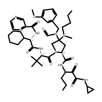 CCCCN(C)C1(N(C=O)Cc2cccc(OC)c2)C[C@@H](C(=O)NC(CCC)C(=O)C(=O)NC2CC2)N(C(=O)[C@@H](NC(=O)[C@@H](NC(=O)c2cnccn2)C2CCCCC2)C(C)(C)C)C1